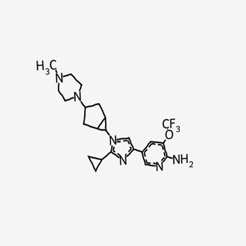 CN1CCN(C2CC3C(C2)C3n2cc(-c3cnc(N)c(OC(F)(F)F)c3)nc2C2CC2)CC1